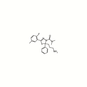 Cc1ccc(F)c(C2=NN(C(=O)N(C)C)C(CCCN)(c3ccccc3)S2)c1